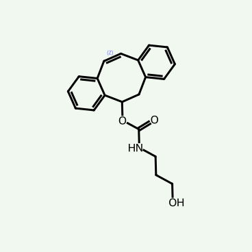 O=C(NCCCO)OC1Cc2ccccc2/C=C\c2ccccc21